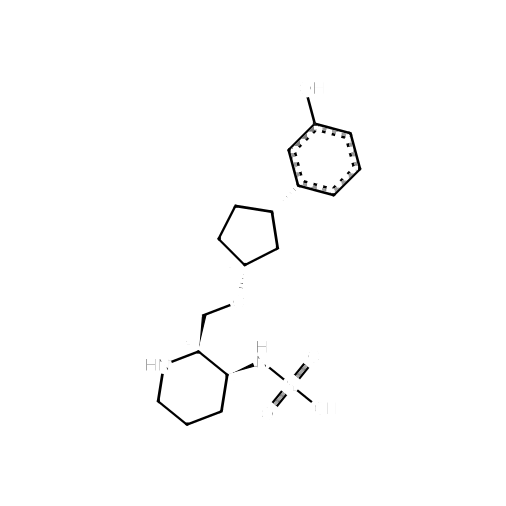 CS(=O)(=O)N[C@H]1CCCN[C@H]1CO[C@@H]1CC[C@H](c2cccc(O)c2)C1